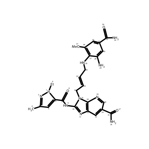 CCn1nc(C)cc1C(=O)Nc1nc2cc(C(N)=O)cnc2n1CC=CCNc1c(N)cc(C(N)=O)cc1OC